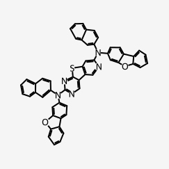 c1ccc2cc(N(c3ccc4c(c3)oc3ccccc34)c3cc4sc5nc(N(c6ccc7ccccc7c6)c6ccc7c(c6)oc6ccccc67)ncc5c4cn3)ccc2c1